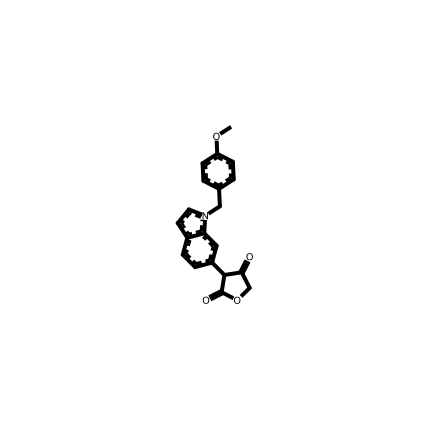 COc1ccc(Cn2ccc3ccc(C4C(=O)COC4=O)cc32)cc1